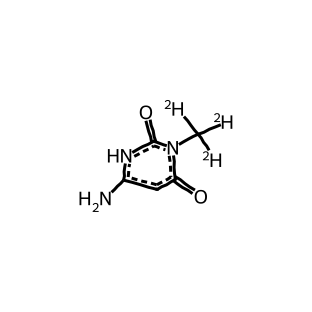 [2H]C([2H])([2H])n1c(=O)cc(N)[nH]c1=O